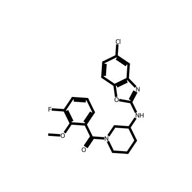 COc1c(F)cccc1C(=O)N1CCCC(Nc2nc3cc(Cl)ccc3o2)C1